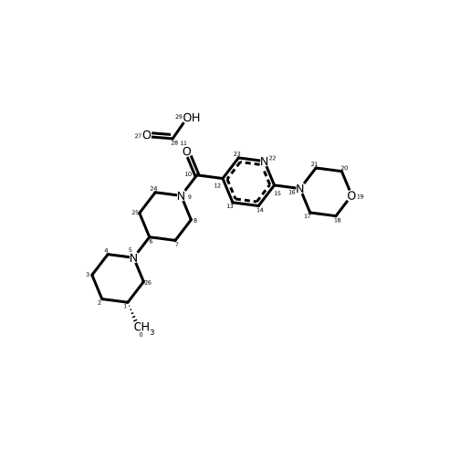 C[C@@H]1CCCN(C2CCN(C(=O)c3ccc(N4CCOCC4)nc3)CC2)C1.O=CO